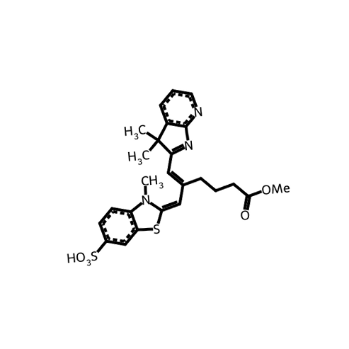 COC(=O)CCCC(=C\C1=Nc2ncccc2C1(C)C)/C=C1/Sc2cc(S(=O)(=O)O)ccc2N1C